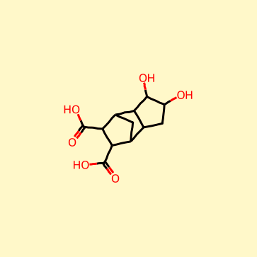 O=C(O)C1C2CC(C1C(=O)O)C1C(O)C(O)CC21